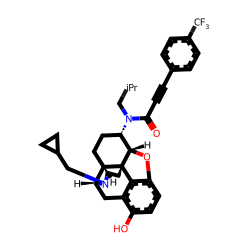 CC(C)CN(C(=O)C#Cc1ccc(C(F)(F)F)cc1)[C@H]1CC[C@H]2[C@H]3Cc4c(O)ccc5c4[C@@]2(CCN3CC2CC2)[C@H]1O5